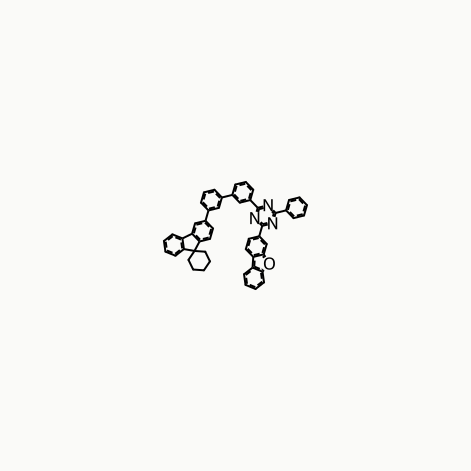 c1ccc(-c2nc(-c3cccc(-c4cccc(-c5ccc6c(c5)-c5ccccc5C65CCCCC5)c4)c3)nc(-c3ccc4c(c3)oc3ccccc34)n2)cc1